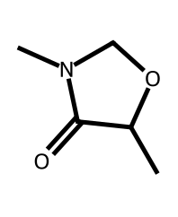 CC1OCN(C)C1=O